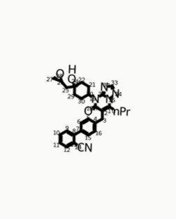 CCCc1c(Cc2ccc(-c3ccccc3C#N)cc2)c(=O)n(C2CCC(O)(CC3CO3)CC2)c2ncnn12